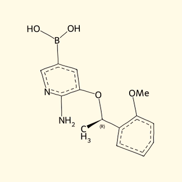 COc1ccccc1[C@@H](C)Oc1cc(B(O)O)cnc1N